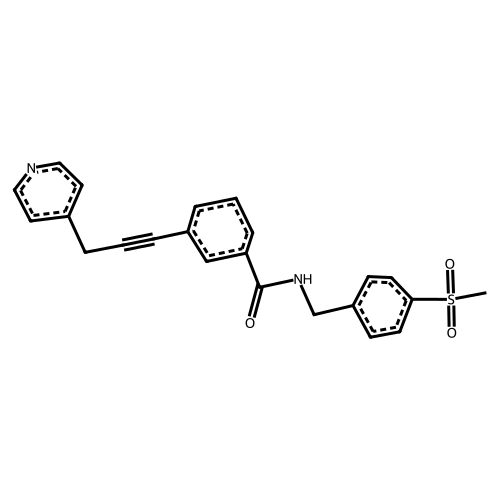 CS(=O)(=O)c1ccc(CNC(=O)c2cccc(C#CCc3ccncc3)c2)cc1